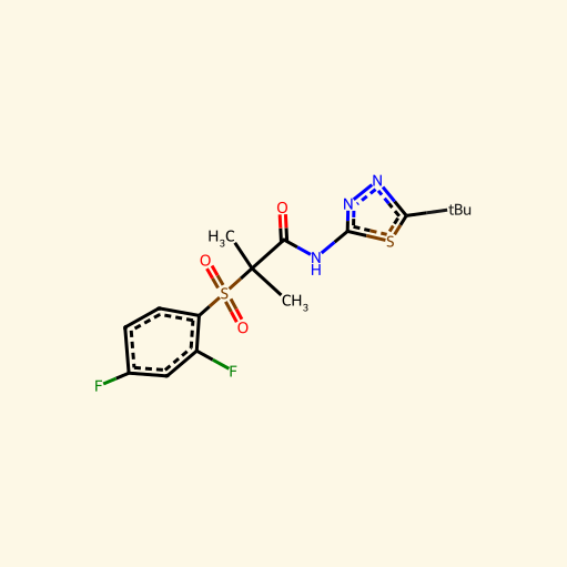 CC(C)(C)c1nnc(NC(=O)C(C)(C)S(=O)(=O)c2ccc(F)cc2F)s1